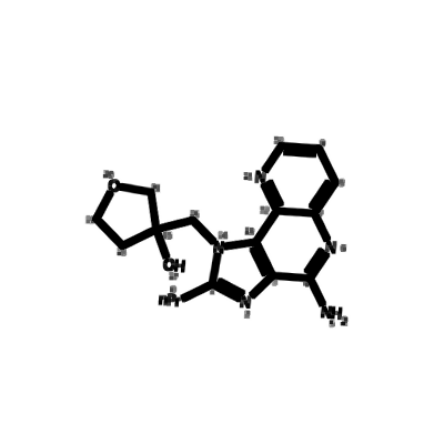 CCCc1nc2c(N)nc3cccnc3c2n1CC1(O)CCOC1